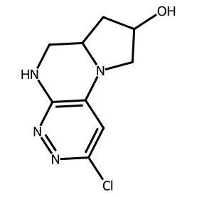 OC1CC2CNc3nnc(Cl)cc3N2C1